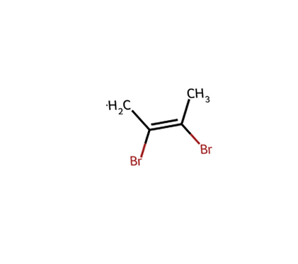 [CH2]/C(Br)=C(\C)Br